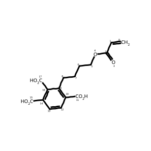 C=CC(=O)OCCCCc1c(C(=O)O)ccc(C(=O)O)c1C(=O)O